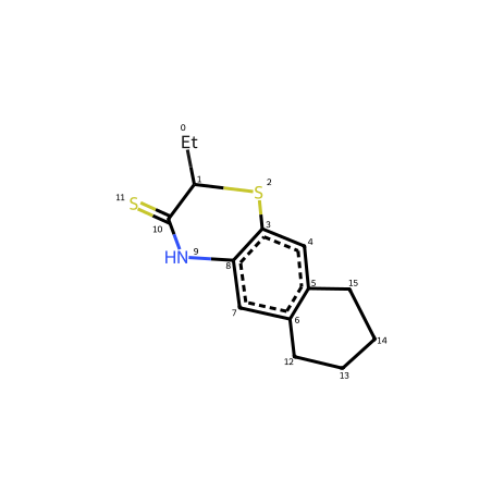 CCC1Sc2cc3c(cc2NC1=S)CCCC3